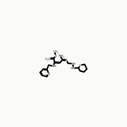 C=C(SC)/C(=C\C(N)=N/CNNC1CCCCO1)NCc1ccccn1